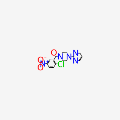 O=C(c1cc([N+](=O)[O-])ccc1Cl)N1CCN(c2ncccn2)CC1